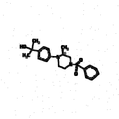 C[C@H]1CN(S(=O)(=O)c2ccccc2)CCN1c1ccc(C(C)(C)O)cc1